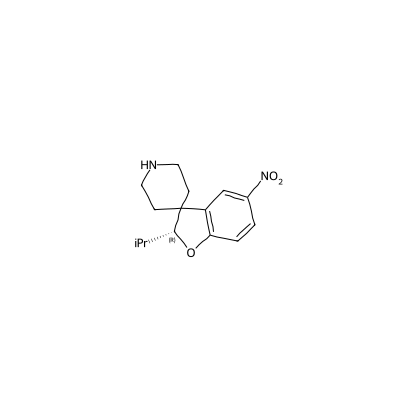 CC(C)[C@H]1Oc2ccc([N+](=O)[O-])cc2C12CCNCC2